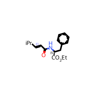 CCOC(=O)[C@H](Cc1ccccc1)NC(=O)/C=C/C(C)C